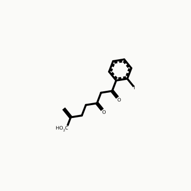 C=C(CCC(=O)CC(=O)c1ccccc1I)C(=O)O